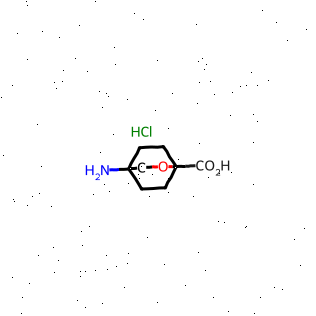 Cl.NC12CCC(C(=O)O)(CC1)OC2